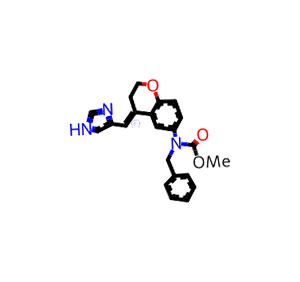 COC(=O)N(Cc1ccccc1)c1ccc2c(c1)/C(=C/c1c[nH]cn1)CCO2